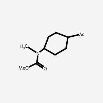 COC(=O)N(C)C1CCC(C(C)=O)CC1